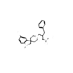 CN(C)C(=O)C(Cc1ccccc1)CN1CCC2(CC1)CN(C)c1ccc(F)cc12